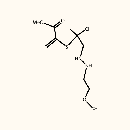 C=C(SC(C)(Cl)CNNCCOCC)C(=O)OC